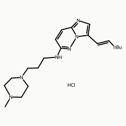 CCCCC=Cc1cnc2ccc(NCCCN3CCN(C)CC3)nn12.Cl